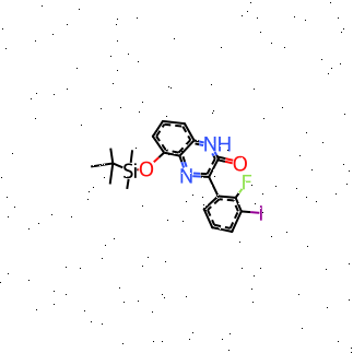 CC(C)(C)[Si](C)(C)Oc1cccc2[nH]c(=O)c(-c3cccc(I)c3F)nc12